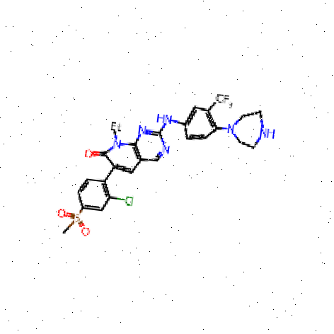 CCn1c(=O)c(-c2ccc(S(C)(=O)=O)cc2Cl)cc2cnc(Nc3ccc(N4CCNCC4)c(C(F)(F)F)c3)nc21